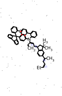 C=C/C(=C\C=C1/CC(C)(C)c2cc(/C(C)=C/C=C\CC)ccc21)N(c1ccc2c(c1)Oc1ccccc1C21c2ccccc2-c2ccccc21)c1ccccc1-c1ccccc1